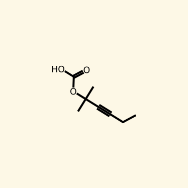 CCC#CC(C)(C)OC(=O)O